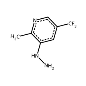 Cc1ncc(C(F)(F)F)cc1NN